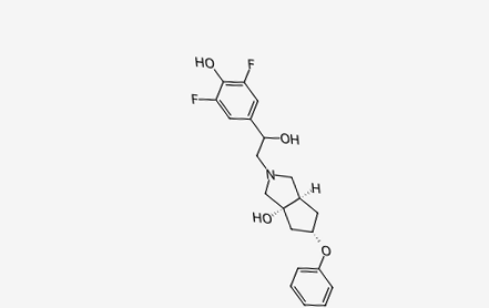 Oc1c(F)cc(C(O)CN2C[C@H]3C[C@H](Oc4ccccc4)C[C@@]3(O)C2)cc1F